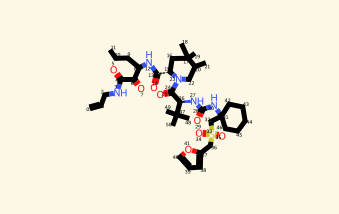 C=CCNC(=O)C(=O)C(CCC)NC(=O)[C@@H]1CC(C)(C)C(C)CN1C(=O)[C@@H](NC(=O)NC1(CS(=O)(=O)Cc2ccco2)CCCCC1)C(C)(C)C